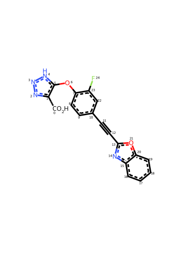 O=C(O)c1nn[nH]c1Oc1ccc(C#Cc2nc3ccccc3o2)cc1F